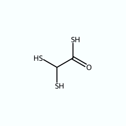 O=C(S)C(S)S